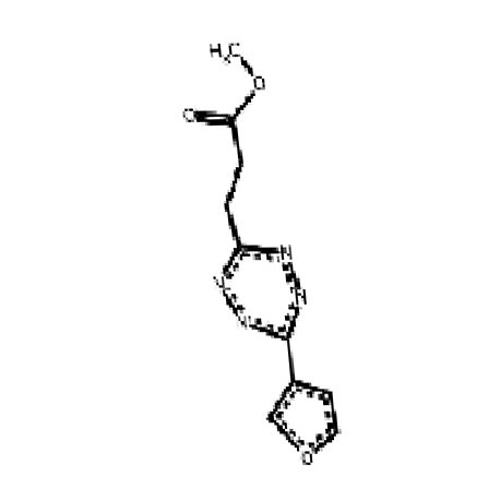 COC(=O)CCc1nnc(-c2ccoc2)nn1